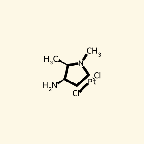 C[C@@H]1[C@H](N)CCN1C.[Cl][Pt][Cl]